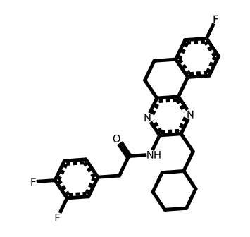 O=C(Cc1ccc(F)c(F)c1)Nc1nc2c(nc1CC1CCCCC1)-c1ccc(F)cc1CC2